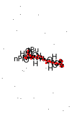 C=C/C(=C\C=C(/C)CN1CCc2ncc(NC(=O)c3ccc4c(c3)N=C(NC(=O)OC(C)(C)C)CC(C(=O)N(CCC)CCC)=C4)cc2C1)C(=O)NCCNC(=O)OCC1c2ccccc2-c2ccccc21